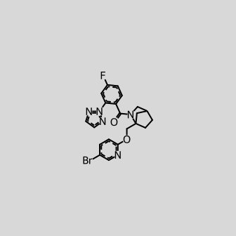 O=C(c1ccc(F)cc1-n1nccn1)N1CC2CCC1(COc1ccc(Br)cn1)C2